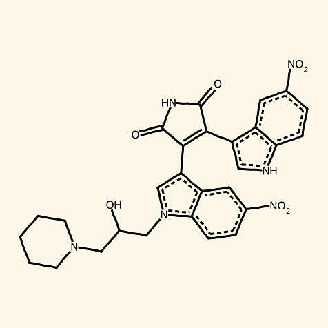 O=C1NC(=O)C(c2cn(CC(O)CN3CCCCC3)c3ccc([N+](=O)[O-])cc23)=C1c1c[nH]c2ccc([N+](=O)[O-])cc12